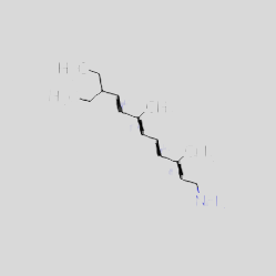 CCC(/C=C/C(C)=C/C=C/C(C)=C/CN)CC